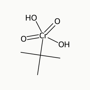 C[C](C)(C)[Cr](=[O])(=[O])([OH])[OH]